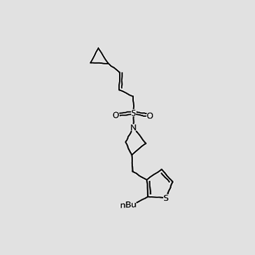 CCCCc1sccc1CC1CN(S(=O)(=O)CC=CC2CC2)C1